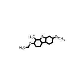 CCOC1CCC2C3CCC(OC)CC3SC2C1C